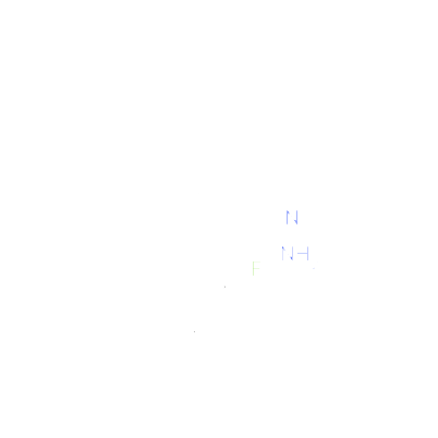 C/C=C(\C(=C/N(C)N)C(C)C)C1(F)CC1